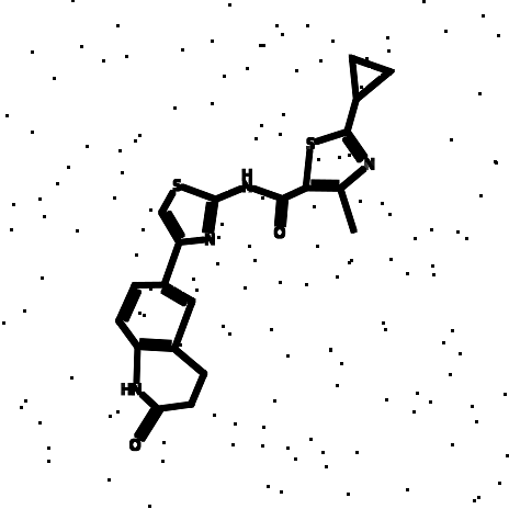 Cc1nc(C2CC2)sc1C(=O)Nc1nc(-c2ccc3c(c2)CCC(=O)N3)cs1